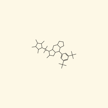 CC1CC2C(CC3CCCC3C2c2cc(C(C)(C)C)cc(C(C)(C)C)c2)C1S(C)(C)C1C(C)C(C)C(C)C1C